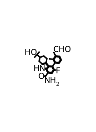 Cc1c(CC=O)cccc1-c1c(F)cc(C(N)=O)c2[nH]c3c(c12)CCC(C(C)(C)O)C3